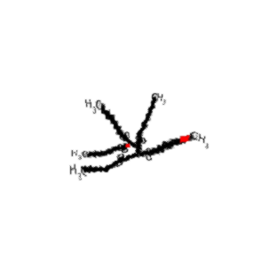 CCCCCCCCCCCCOC(=O)CCCCCN(CCC(=O)OCCCCCCCCCCCC)CCN(CCC(=O)OCCCCCCCCCCCC)CCN(CCC(=O)OCCCCCCCCCCCC)CCC(=O)OCCCCCCCCCCCC